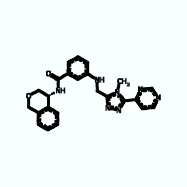 Cn1c(CNc2cccc(C(=O)N[C@H]3COCc4ccccc43)c2)nnc1-c1ccncn1